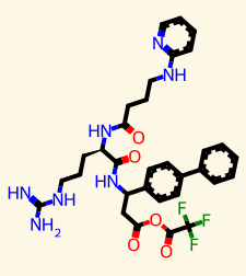 N=C(N)NCCC[C@@H](NC(=O)CCCNc1ccccn1)C(=O)NC(CC(=O)OC(=O)C(F)(F)F)c1ccc(-c2ccccc2)cc1